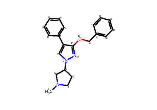 CN1CCC(n2cc(-c3ccccc3)c(OCc3ccccc3)n2)C1